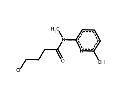 CN(C(=O)CCCCl)c1cccc(O)n1